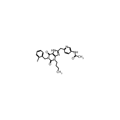 CCCCn1c(=O)n(Cc2ccccc2F)c(=O)c2[nH]c(Cc3ccc(NC(C)=O)cn3)nc21